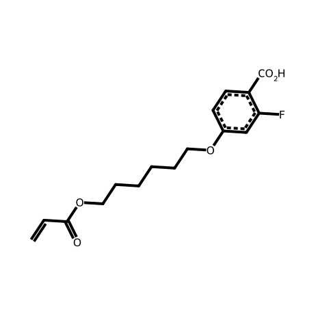 C=CC(=O)OCCCCCCOc1ccc(C(=O)O)c(F)c1